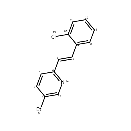 CCc1ccc(C=Cc2ccccc2Cl)nc1